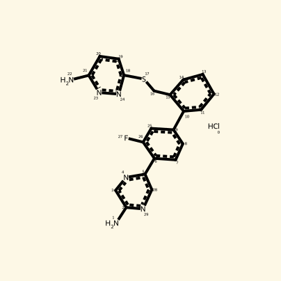 Cl.Nc1cnc(-c2ccc(-c3ccccc3CSc3ccc(N)nn3)cc2F)cn1